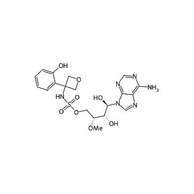 CO[C@H](COS(=O)(=O)NC1(c2ccccc2O)COC1)[C@@H](O)[C@@H](O)n1cnc2c(N)ncnc21